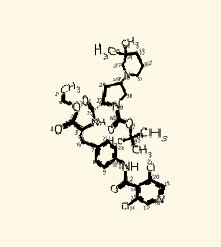 CCOC(=O)[C@H](Cc1ccc(NC(=O)c2c(Cl)cncc2Cl)cc1)NC(=O)[C@@H]1C[C@@H](N2CCCC(C)(C)C2)CN1C(=O)OC(C)(C)C